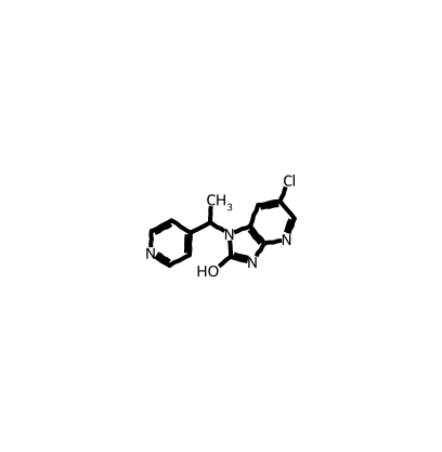 CC(c1ccncc1)n1c(O)nc2ncc(Cl)cc21